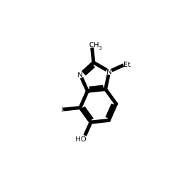 CCn1c(C)nc2c(I)c(O)ccc21